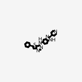 c1ccc(-c2cc3ncnc(Nc4ccc5[nH]c(-c6ccncc6)nc5c4)c3s2)cc1